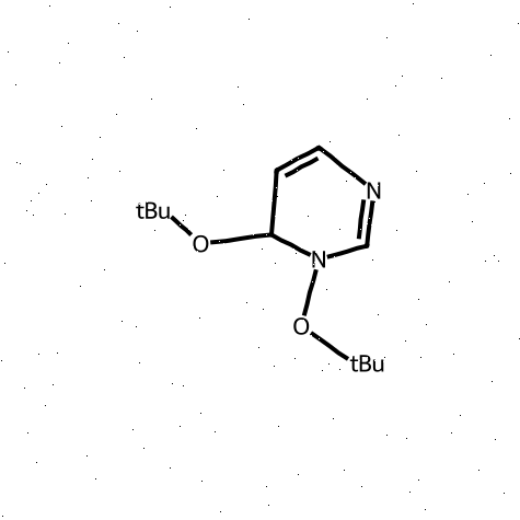 CC(C)(C)OC1C=CN=CN1OC(C)(C)C